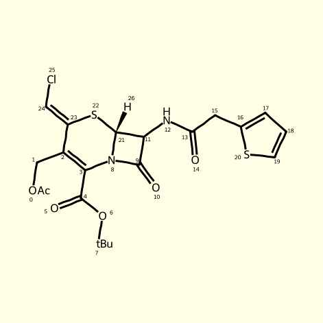 CC(=O)OCC1=C(C(=O)OC(C)(C)C)N2C(=O)C(NC(=O)Cc3cccs3)[C@H]2S/C1=C\Cl